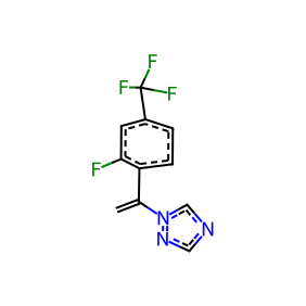 C=C(c1ccc(C(F)(F)F)cc1F)n1cncn1